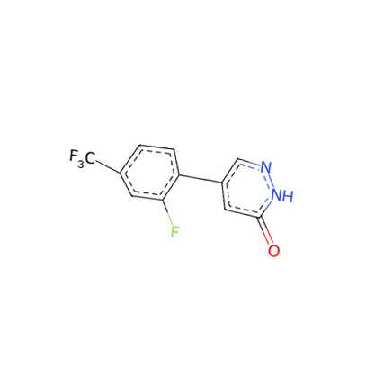 O=c1cc(-c2ccc(C(F)(F)F)cc2F)cn[nH]1